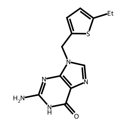 CCc1ccc(Cn2cnc3c(=O)[nH]c(N)nc32)s1